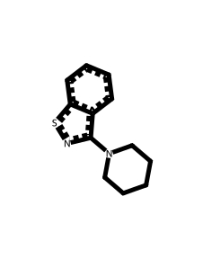 c1ccc2c(N3CCCCC3)nsc2c1